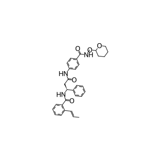 C/C=C/c1ccccc1C(=O)N[C@@H](CC(=O)Nc1ccc(C(=O)NOC2CCCCO2)cc1)c1ccccc1